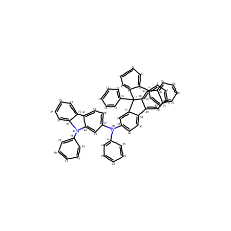 c1ccc(-c2ccccc2C2(c3ccccc3)c3cc(N(c4ccccc4)c4ccc5c6ccccc6n(-c6ccccc6)c5c4)ccc3-c3cc4ccccc4cc32)cc1